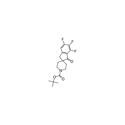 CC(C)(C)OC(=O)N1CCC2(CC1)Cc1cc(F)c(F)c(F)c1C2=O